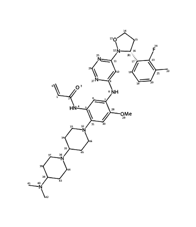 C=CC(=O)Nc1cc(Nc2cc(N3OCC[C@@H]3c3cccc(C)c3F)ncn2)c(OC)cc1N1CCC(N2CCC(N(C)C)CC2)CC1